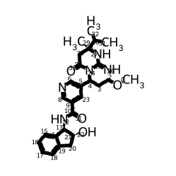 COCCC(c1cncc(C(=O)N[C@@H]2c3ccccc3C[C@H]2O)c1)N1C(=N)N[C@](C)(C(C)C)CC1=O